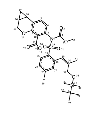 COC(=O)N(c1ccc2c(c1C(=O)O)OCC1CC21)S(=O)(=O)c1ccc(F)cc1C=C(C)CO[Si](C)(C)C(C)(C)C